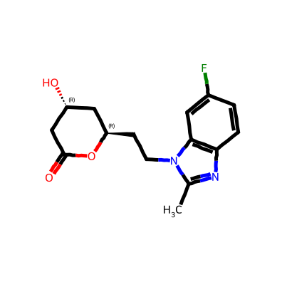 Cc1nc2ccc(F)cc2n1CC[C@@H]1C[C@@H](O)CC(=O)O1